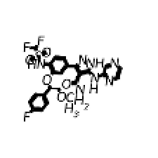 COC[C@H](Oc1cc(-c2n[nH]c(Nc3cnccn3)c2C(N)=O)ccc1NS(=O)(=O)C(F)F)c1ccc(F)cc1